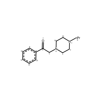 CCCN1CCN(CC(=O)c2ccccc2)CC1